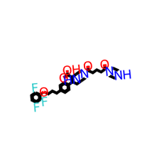 O=C(O)C1=C(c2ccc(CCCOc3c(F)ccc(F)c3F)cc2)CC2CN(C(=O)CCCC(=O)N3CCNCC3)CC1N2